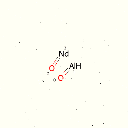 [O]=[AlH].[O]=[Nd]